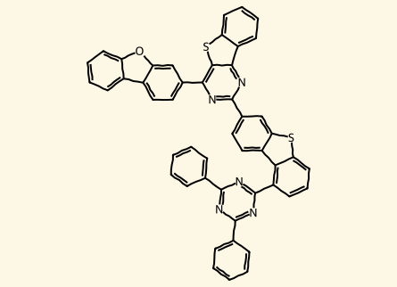 c1ccc(-c2nc(-c3ccccc3)nc(-c3cccc4sc5cc(-c6nc(-c7ccc8c(c7)oc7ccccc78)c7sc8ccccc8c7n6)ccc5c34)n2)cc1